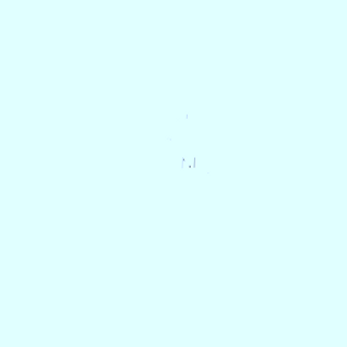 [CH2]C(CCC)C(N)=O